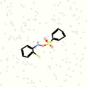 O=S(=O)(ONc1ccccc1F)c1ccccc1